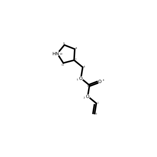 C=COC(=O)OCC1CCNC1